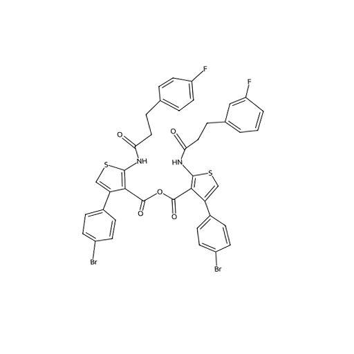 O=C(CCc1ccc(F)cc1)Nc1scc(-c2ccc(Br)cc2)c1C(=O)OC(=O)c1c(-c2ccc(Br)cc2)csc1NC(=O)CCc1cccc(F)c1